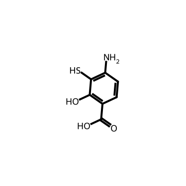 Nc1ccc(C(=O)O)c(O)c1S